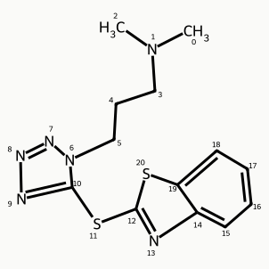 CN(C)CCCn1nnnc1Sc1nc2ccccc2s1